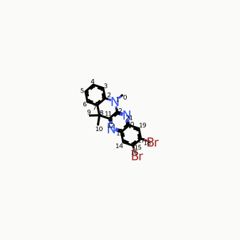 CN1c2ccccc2C(C)(C)c2nc3cc(Br)c(Br)cc3nc21